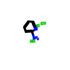 Cl.Cl.Cl.Nc1ccccn1